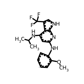 COc1c[c]ccc1Nc1cc(NC(C)C)c2c(C(F)(F)F)c[nH]c2n1